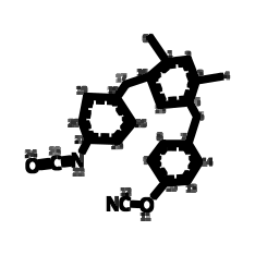 Cc1cc(C)c(Cc2ccc(OC#N)cc2)cc1Cc1ccc(N=C=O)cc1